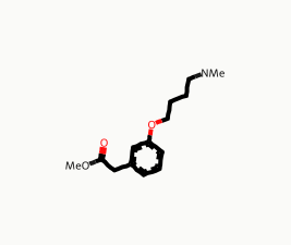 CNCCCCOc1cccc(CC(=O)OC)c1